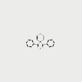 O=C(c1ccccc1)C1(C(=O)c2ccccc2)C=CCCC1